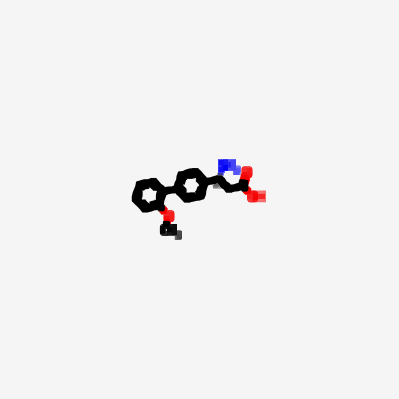 COc1ccccc1-c1ccc([C@H](N)CC(=O)O)cc1